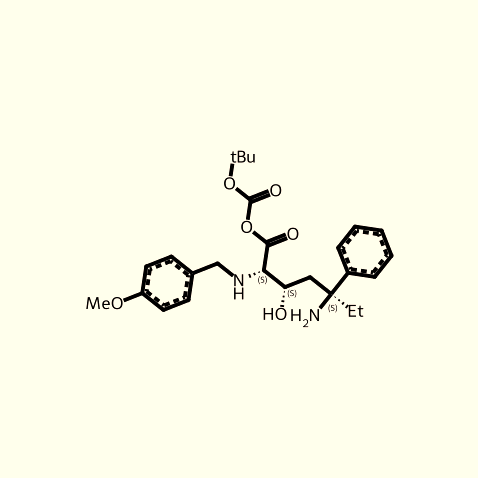 CC[C@](N)(C[C@H](O)[C@H](NCc1ccc(OC)cc1)C(=O)OC(=O)OC(C)(C)C)c1ccccc1